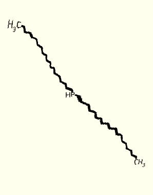 CCCCCCCCCCCCCCCCCCC=CPC=CCCCCCCCCCCCCCCCCCC